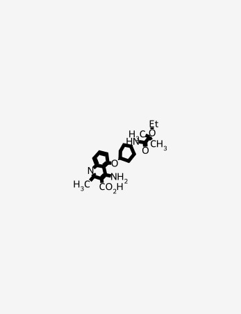 CCOC(C)(C)C(=O)N[C@H]1CC[C@H](Oc2cccc3nc(C)c(C(=O)O)c(N)c23)CC1